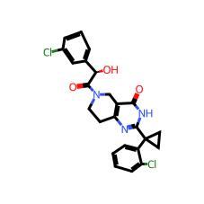 O=C([C@H](O)c1cccc(Cl)c1)N1CCc2nc(C3(c4ccccc4Cl)CC3)[nH]c(=O)c2C1